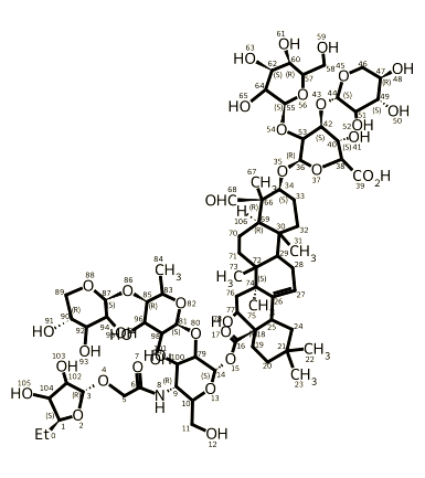 CC[C@@H]1O[C@@H](OCC(=O)N[C@H]2C(CO)O[C@@H](OC(=O)[C@]34CCC(C)(C)CC3C3=CCC5C6(C)CC[C@H](O[C@@H]7OC(C(=O)O)[C@@H](O)[C@H](O[C@@H]8OC[C@@H](O)[C@H](O)C8O)C7O[C@@H]7OC(CO)[C@H](O)[C@H](O)C7O)[C@](C)(C=O)[C@@H]6CCC5(C)[C@]3(C)CC4O)C(O[C@@H]3OC(C)[C@H](O[C@@H]4OC[C@@H](O)C(O)C4O)C(O)C3O)C2O)C(O)C1O